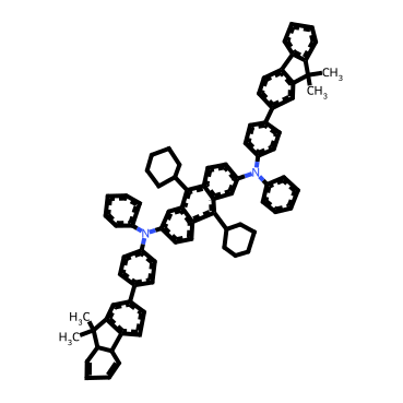 CC1(C)c2ccccc2-c2ccc(-c3ccc(N(c4ccccc4)c4ccc5c(C6CCCCC6)c6cc(N(c7ccccc7)c7ccc(-c8ccc9c(c8)C(C)(C)C8C=CC=CC98)cc7)ccc6c(C6CCCCC6)c5c4)cc3)cc21